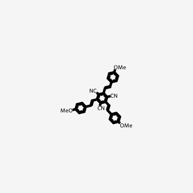 COc1ccc(/C=C/c2c(C#N)c(/C=C/c3ccc(OC)cc3)c(C#N)c(/C=C/c3ccc(OC)cc3)c2C#N)cc1